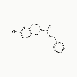 O=C(OCc1ccccc1)N1CCc2nc(Cl)ccc2C1